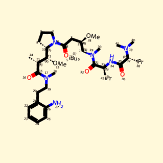 CC[C@H](C)[C@@H]([C@@H](CC(=O)N1CCC[C@H]1[C@H](OC)[C@@H](C)C(=O)N(C)CCc1ccccc1N)OC)N(C)C(=O)[C@@H](NC(=O)[C@@H](C(C)C)N(C)C)C(C)C